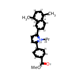 COC(=O)c1ccc(-c2ccc(-c3ccc4c(C)ccc(C)c4c3)n2C(C)C)cc1